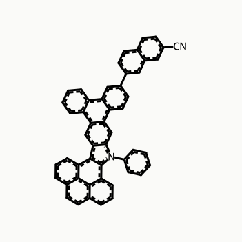 N#Cc1ccc2ccc(-c3ccc4c(c3)c3ccccc3c3cc5c6c7cccc8ccc9cccc(c9c87)c6n(-c6ccccc6)c5cc43)cc2c1